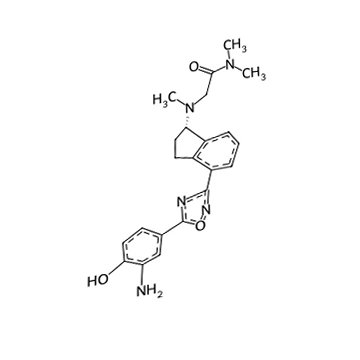 CN(C)C(=O)CN(C)[C@H]1CCc2c(-c3noc(-c4ccc(O)c(N)c4)n3)cccc21